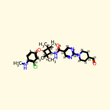 CNc1ccc(O[C@H]2C(C)(C)[C@H](NC(=O)c3cnc(N4CCC(C=O)CC4)nc3)C2(C)C)cc1Cl